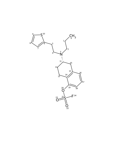 CCCN(CCc1cccs1)[C@H]1CCc2c(cccc2OS(=O)(=O)F)C1